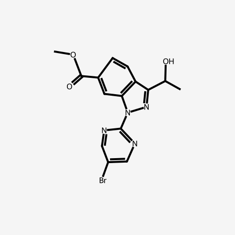 COC(=O)c1ccc2c(C(C)O)nn(-c3ncc(Br)cn3)c2c1